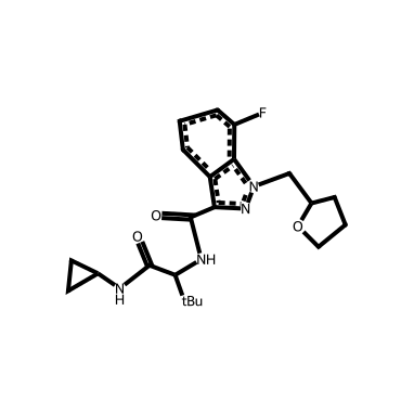 CC(C)(C)C(NC(=O)c1nn(CC2CCCO2)c2c(F)cccc12)C(=O)NC1CC1